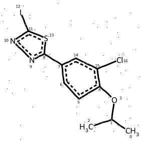 CC(C)Oc1ccc(-c2nnc(I)s2)cc1Cl